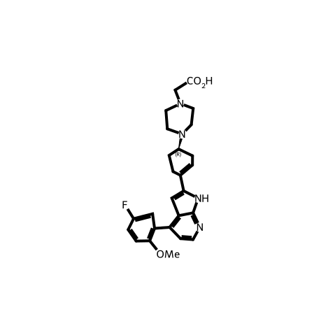 COc1ccc(F)cc1-c1ccnc2[nH]c(C3=CC[C@H](N4CCN(CC(=O)O)CC4)CC3)cc12